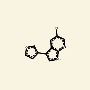 Brc1cnc2[nH]cc(-c3ccoc3)c2c1